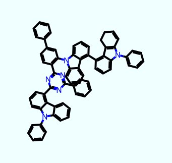 C1=Cc2c(c3c(-c4cccc5c4c4ccccc4n5-c4cc(-c5ccccc5)ccc4-c4nc(-c5ccccc5)nc(-c5cccc6c5c5ccccc5n6-c5ccccc5)n4)cccc3n2-c2ccccc2)CC1